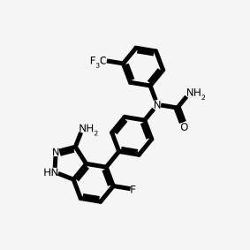 NC(=O)N(c1ccc(-c2c(F)ccc3[nH]nc(N)c23)cc1)c1cccc(C(F)(F)F)c1